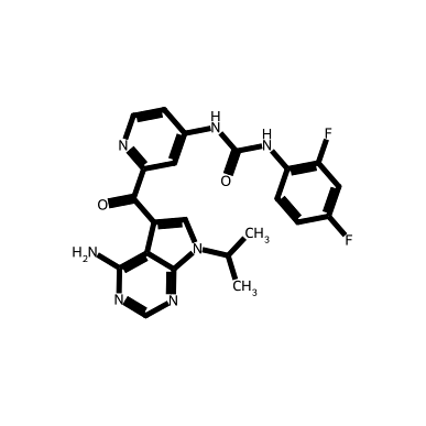 CC(C)n1cc(C(=O)c2cc(NC(=O)Nc3ccc(F)cc3F)ccn2)c2c(N)ncnc21